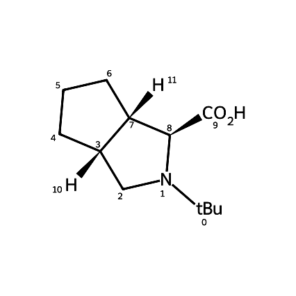 CC(C)(C)N1C[C@@H]2CCC[C@@H]2[C@H]1C(=O)O